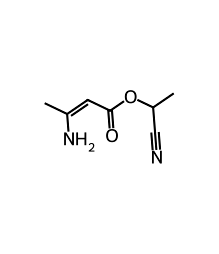 C/C(N)=C/C(=O)OC(C)C#N